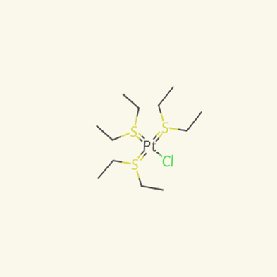 CC[S](CC)=[Pt]([Cl])(=[S](CC)CC)=[S](CC)CC